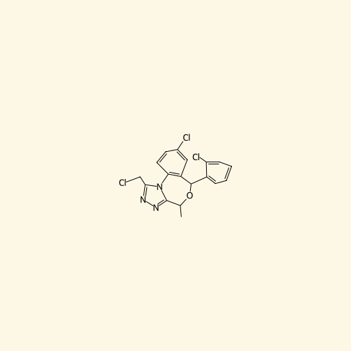 CC1OC(c2ccccc2Cl)c2cc(Cl)ccc2-n2c(CCl)nnc21